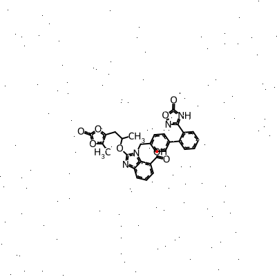 Cc1oc(=O)oc1CC(C)Oc1nc2cccc(C(=O)O)c2n1Cc1ccc(-c2ccccc2-c2noc(=O)[nH]2)cc1